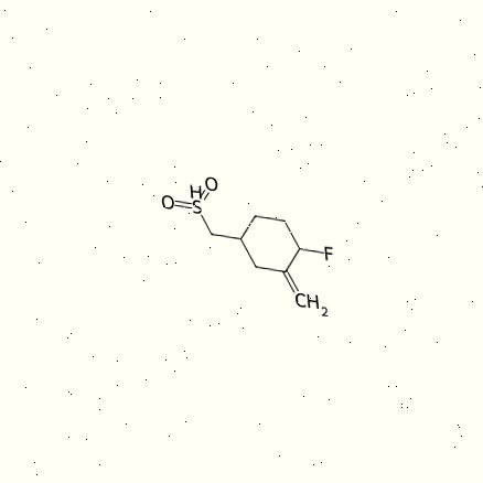 C=C1CC(C[SH](=O)=O)CCC1F